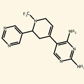 Nc1ncc(C2=CCN(C(F)(F)F)C(c3cncnc3)C2)c(N)n1